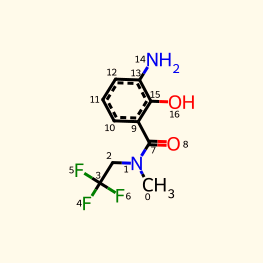 CN(CC(F)(F)F)C(=O)c1cccc(N)c1O